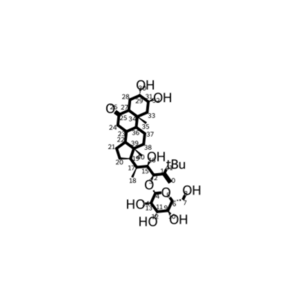 C=C([C@@H](O[C@@H]1O[C@H](CO)[C@@H](O)[C@H](O)[C@H]1O)[C@H](O)[C@@H](C)[C@H]1CCC2C3CC(=O)C4C[C@H](O)[C@@H](O)C[C@]4(C)C3CC[C@@]21C)C(C)(C)C